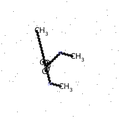 CCCCCCC/C=C\CCCCCCCC(=O)OC[C@H](COC(=O)CCCCCCCCCCCCCCCCCCCCC)OC(=O)CCCCCCCCC/C=C\CCCCCCCC